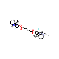 C/C1=C/CCC[C@]2(C)c3cc(OC(=O)CCCCCCC(=O)Oc4cc(F)c5c(c4)[C@@]4(C)CCCCC[C@@H](C5)[C@@H]4N)cc(F)c3C[C@H]1[C@@H]2N